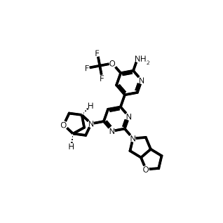 Nc1ncc(-c2cc(N3C[C@@H]4C[C@H]3CO4)nc(N3CC4CCOC4C3)n2)cc1OC(F)(F)F